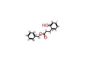 O=C(CCc1ccccc1O)OCc1ccccc1